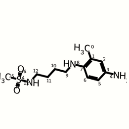 Cc1cc(N)ccc1NCCCCNS(C)(=O)=O